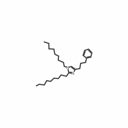 CCCCCCCCCc1nc(CCCc2ccccc2)cn1CCCCCCCCC